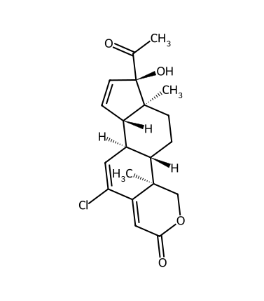 CC(=O)[C@@]1(O)C=C[C@H]2[C@@H]3C=C(Cl)C4=CC(=O)OC[C@]4(C)[C@H]3CC[C@@]21C